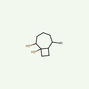 CC(C)C1CCCC(S)C2(S)CCC12